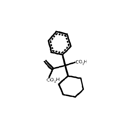 C=C(C(=O)O)C(C(=O)O)(c1ccccc1)C1CCCCC1